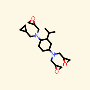 CC(C)C1CC(N(CC2CO2)CC2CO2)CCC1N(CC1CC1)CC1CO1